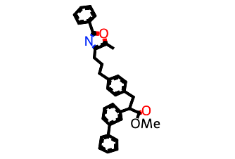 COC(=O)C(Cc1ccc(CCCc2nc(-c3ccccc3)oc2C)cc1)c1cccc(-c2ccccc2)c1